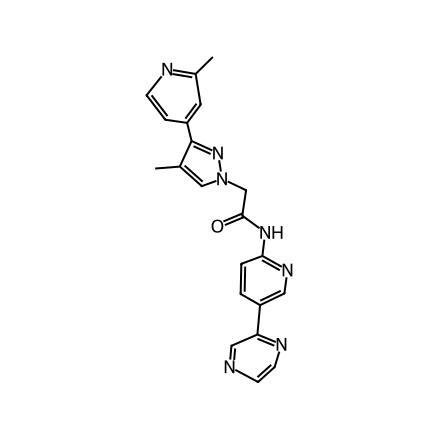 Cc1cc(-c2nn(CC(=O)Nc3ccc(-c4cnccn4)cn3)cc2C)ccn1